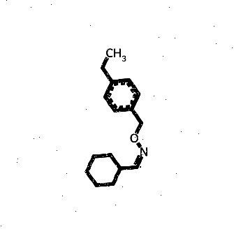 CCc1ccc(CO/N=[C]\C2CCCCC2)cc1